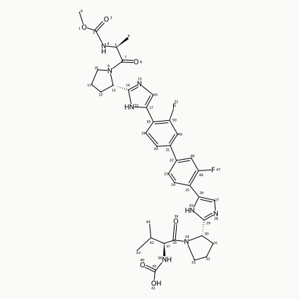 COC(=O)N[C@@H](C)C(=O)N1CCC[C@H]1c1ncc(-c2ccc(-c3ccc(-c4cnc([C@@H]5CCCN5C(=O)[C@@H](NC(=O)O)C(C)C)[nH]4)c(F)c3)cc2F)[nH]1